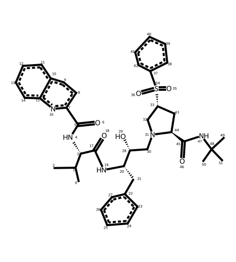 CC(C)[C@H](NC(=O)c1ccc2ccccc2n1)C(=O)N[C@@H](Cc1ccccc1)[C@H](O)CN1C[C@H](S(=O)(=O)c2ccccc2)C[C@H]1C(=O)NC(C)(C)C